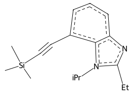 CCc1nc2cccc(C#C[Si](C)(C)C)c2n1C(C)C